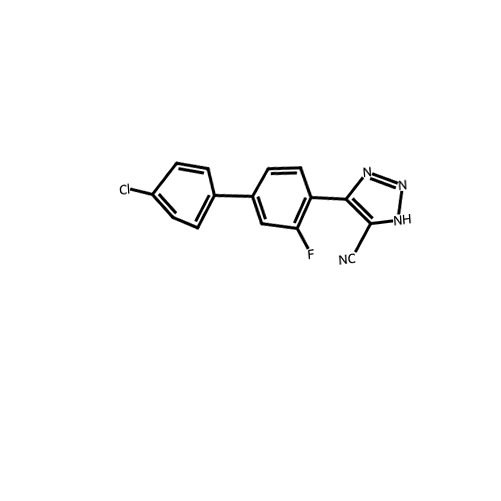 N#Cc1[nH]nnc1-c1ccc(-c2ccc(Cl)cc2)cc1F